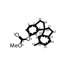 COC(=O)Oc1ccc2c(c1)C1(CCc3ccc(C)cc31)CC2